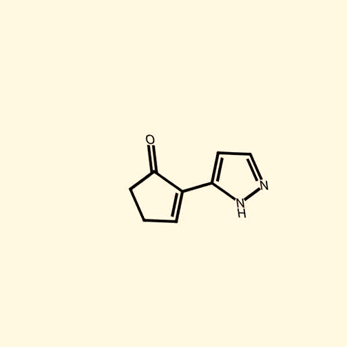 O=C1CCC=C1c1ccn[nH]1